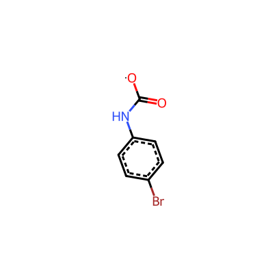 [O]C(=O)Nc1ccc(Br)cc1